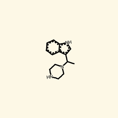 CC(c1c[nH]c2ccccc12)N1CCNCC1